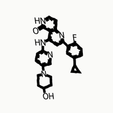 O=c1[nH]ccc2nc(-c3cc(C4CC4)ccc3F)cc(Nc3ccc(N4CCC(O)CC4)cn3)c12